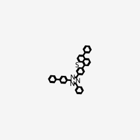 c1ccc(-c2ccc(-c3nc(-c4ccccc4)nc(-c4ccc5c(c4)Sc4ccc(-c6ccccc6)c6cccc-5c46)n3)cc2)cc1